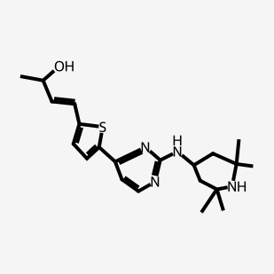 CC(O)/C=C/c1ccc(-c2ccnc(NC3CC(C)(C)NC(C)(C)C3)n2)s1